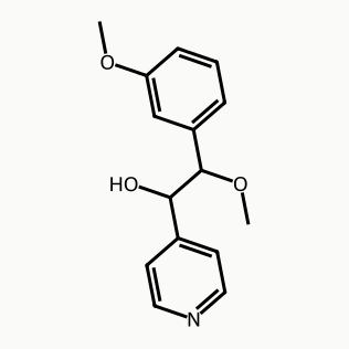 COc1cccc(C(OC)C(O)c2ccncc2)c1